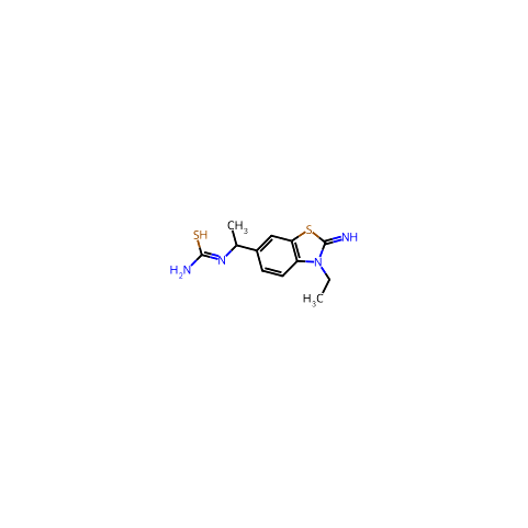 CCn1c(=N)sc2cc(C(C)N=C(N)S)ccc21